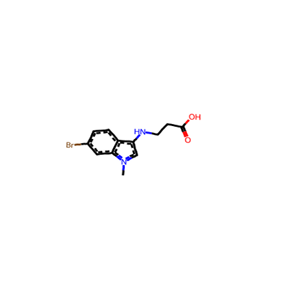 Cn1cc(NCCC(=O)O)c2ccc(Br)cc21